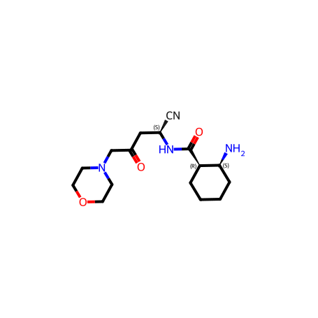 N#C[C@H](CC(=O)CN1CCOCC1)NC(=O)[C@@H]1CCCC[C@@H]1N